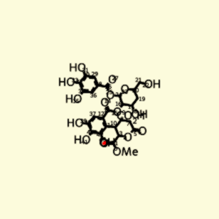 COC(=O)C1OC(=O)CC(C(=O)O)C1c1c(C(=O)OC2C(O)CC(CO)OC2OC(=O)c2cc(O)c(O)c(O)c2)cc(O)c(O)c1O